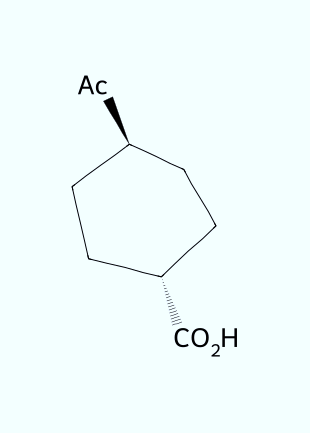 CC(=O)[C@H]1CC[C@H](C(=O)O)CC1